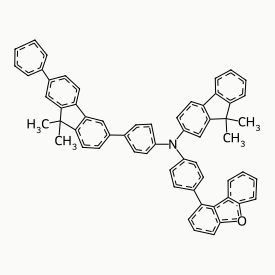 CC1(C)c2ccc(-c3ccc(N(c4ccc(-c5cccc6oc7ccccc7c56)cc4)c4ccc5c(c4)C(C)(C)c4ccccc4-5)cc3)cc2-c2ccc(-c3ccccc3)cc21